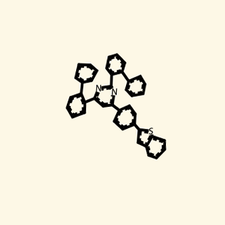 c1ccc(-c2ccccc2-c2cc(-c3ccc(-c4cc5ccccc5s4)cc3)nc(-c3ccccc3-c3ccccc3)n2)cc1